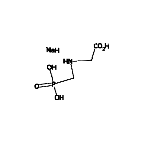 O=C(O)CNCP(=O)(O)O.[NaH]